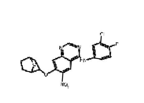 O=[N+]([O-])c1cc2c(Nc3ccc(F)c(Cl)c3)ncnc2cc1OC1CC2CCC1O2